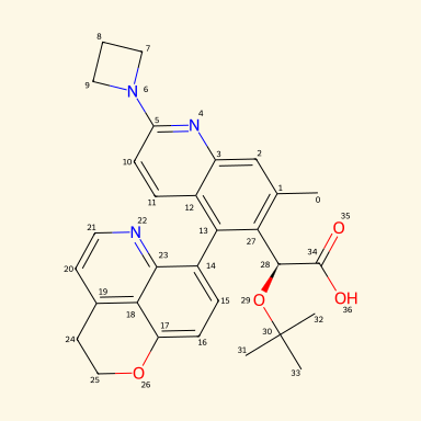 Cc1cc2nc(N3CCC3)ccc2c(-c2ccc3c4c(ccnc24)CCO3)c1[C@H](OC(C)(C)C)C(=O)O